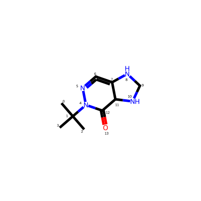 CC(C)(C)N1N=C=C2NCNC2C1=O